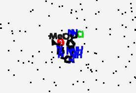 COc1nnc(Cl)cc1-c1ccc2nc(Nc3cc(CN4CCN(C(=O)C5CC5)CC4)ccn3)[nH]c2c1